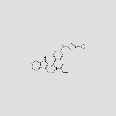 C=C(CC)N1CCc2c([nH]c3ccccc23)[C@H]1c1ccc(OC2CN(C3CC3)C2)cc1